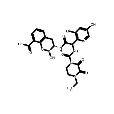 CCN1CCN(C(=O)NC(C(=O)N[C@H]2Cc3cccc(C(=O)O)c3OB2O)c2ncc(O)cc2Cl)C(=O)C1=O